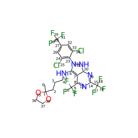 CC1(CCCNC2=C3C(C(F)(F)F)=NC(C(F)(F)F)=NC3NN2c2c(Cl)cc(C(F)(F)F)cc2Cl)OCCO1